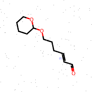 O=C/C=C/CCCOC1CCCCO1